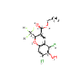 CCOC(=O)C1=Cc2c(cc(Cl)c(O)c2Cl)OC1C(F)(F)F